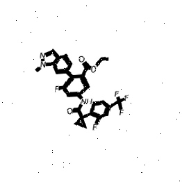 CCOC(=O)c1cc(NC(=O)C2(c3ccc(C(F)(F)F)cc3F)CC2)cc(F)c1-c1ccc2cnn(C)c2c1